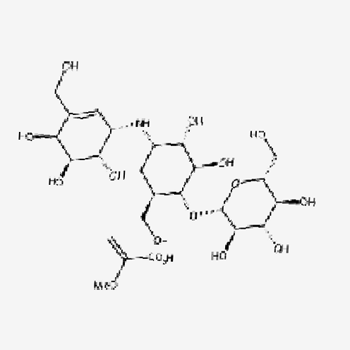 C=C(OC)C(=O)O.OCC1=C[C@H](N[C@H]2C[C@H](CO)[C@@H](O[C@@H]3O[C@H](CO)[C@@H](O)[C@H](O)[C@H]3O)[C@H](O)[C@H]2O)[C@H](O)[C@@H](O)[C@H]1O